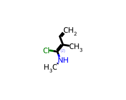 C=C/C(C)=C(\Cl)NC